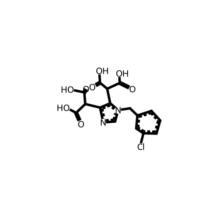 O=C(O)C(C(=O)O)c1ncn(Cc2cccc(Cl)c2)c1C(C(=O)O)C(=O)O